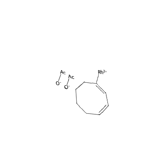 CC(=O)[O-].CC(=O)[O-].[Rh+2]/[C]1=C/C=C\CCCC1